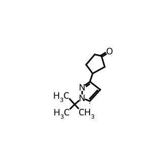 CC(C)(C)n1[c]cc(C2CCC(=O)C2)n1